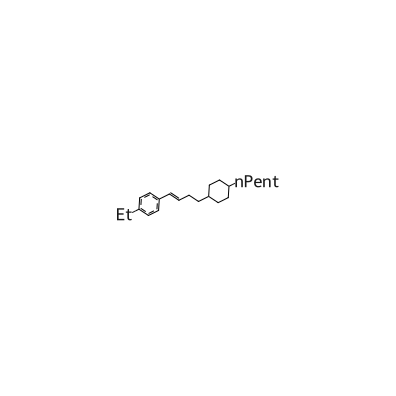 CCCCCC1CCC(CCC=Cc2ccc(CC)cc2)CC1